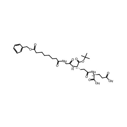 CC(C)(C)OC(=O)[C@H](CCC(=O)N[C@@H](CCC(=O)O)C(=O)O)NC(=O)CNC(=O)CCCCCCC(=O)OCc1ccccc1